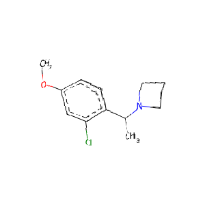 COc1ccc(C(C)N2CCC2)c(Cl)c1